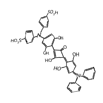 O=C1C(=C2C(O)=CC(=[N+](c3ccccc3)c3ccccc3)C=C2O)C(O)=C1c1c(O)cc(N(c2ccc(S(=O)(=O)O)cc2)c2ccc(S(=O)(=O)O)cc2)cc1O